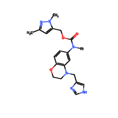 CCN(C(=O)OCc1cc(C)nn1C)c1ccc2c(c1)N(Cc1c[nH]cn1)CCO2